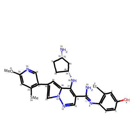 CCc1cc(O)ccc1/N=C(\N)c1cnn2cc(-c3cnc(OC)cc3SC)cc2c1N[C@@H]1CC[C@H](N)C1